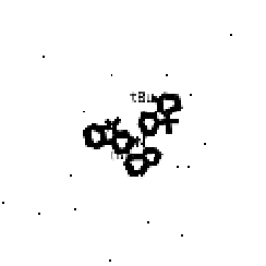 CC(C)(C)c1cccc2c1-c1ccc(N(c3ccc4c(c3)C(C)(C)c3ccccc3-4)c3cccc4cccc(C(C)(C)C)c34)cc1C2(C)C